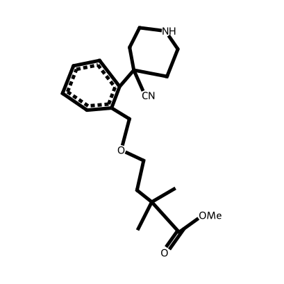 COC(=O)C(C)(C)CCOCc1ccccc1C1(C#N)CCNCC1